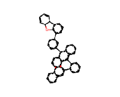 C1=CC2Oc3c(-c4cccc(-c5c6ccccc6c(-c6ccccc6-c6ccc7ccccc7c6)c6ccccc56)c4)cccc3C2C=C1